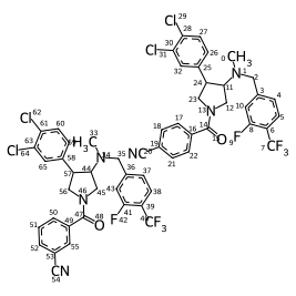 CN(Cc1ccc(C(F)(F)F)c(F)c1)C1CN(C(=O)c2ccc(C#N)cc2)CC1c1ccc(Cl)c(Cl)c1.CN(Cc1ccc(C(F)(F)F)c(F)c1)C1CN(C(=O)c2cccc(C#N)c2)CC1c1ccc(Cl)c(Cl)c1